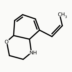 C/C=C\C1=CC=CC2OCCNC12